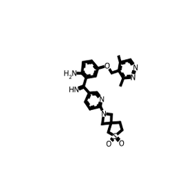 Cc1cnnc(C)c1COc1ccc(N)c(C(=N)c2ccc(N3CC4(CCS(=O)(=O)C4)C3)nc2)c1